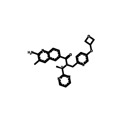 Cc1cc2cc(C(=O)N(Cc3ccc(OC4COC4)cn3)[C@H](C)c3ncccn3)ccc2nc1N